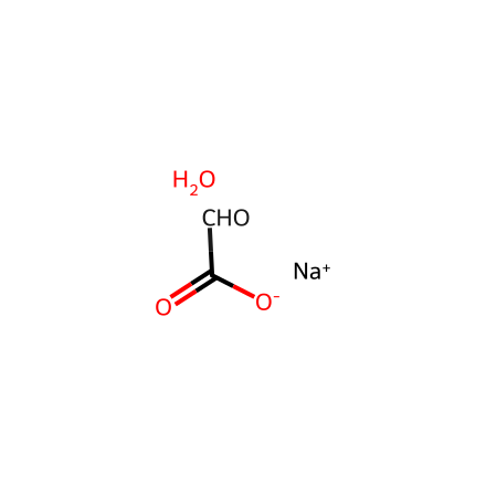 O.O=CC(=O)[O-].[Na+]